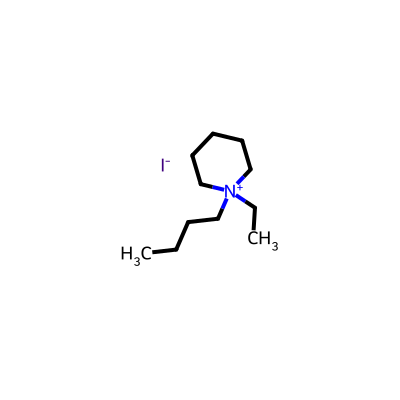 CCCC[N+]1(CC)CCCCC1.[I-]